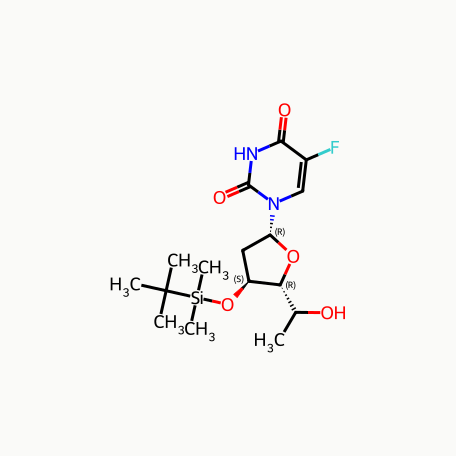 CC(O)[C@H]1O[C@@H](n2cc(F)c(=O)[nH]c2=O)C[C@@H]1O[Si](C)(C)C(C)(C)C